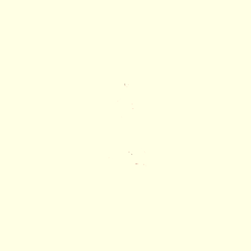 COc1ccc(OCC(n2ccnc2)C(C)(C)C)cc1